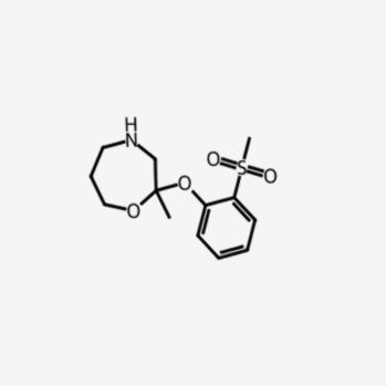 CC1(Oc2ccccc2S(C)(=O)=O)CNCCCO1